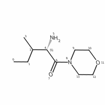 CCC(C)[C@H](N)C(=O)N1CCOCC1